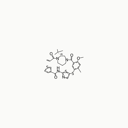 C=CC(=O)N1CCCN(C(=O)c2cc(Sc3cnc(NC(=O)c4ccsc4)s3)c(C)cc2OC)C[C@H]1C(C)(C)C